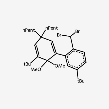 CCCCCC1(CCCCC)C=C(c2cc(C(C)(C)C)ccc2C(Br)Br)C(OC)(OC)C(C(C)(C)C)=C1